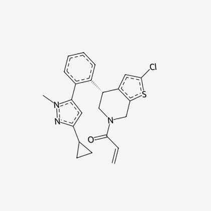 C=CC(=O)N1Cc2sc(Cl)cc2[C@@H](c2ccccc2-c2cc(C3CC3)nn2C)C1